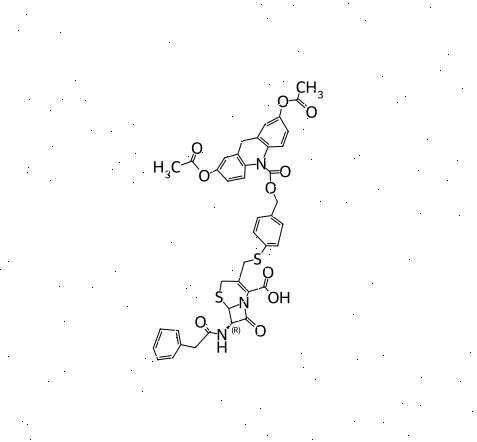 CC(=O)Oc1ccc2c(c1)Cc1cc(OC(C)=O)ccc1N2C(=O)OCc1ccc(SCC2=C(C(=O)O)N3C(=O)[C@@H](NC(=O)Cc4ccccc4)C3SC2)cc1